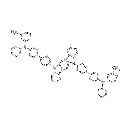 Cc1cccc(N(c2ccccc2)c2ccc(-c3ccc(-n4c5ccccc5c5cc6c(cc54)c4ccccc4n6-c4ccc(-c5ccc(N(c6ccccc6)c6cccc(C)c6)cc5)cc4)cc3)cc2)c1